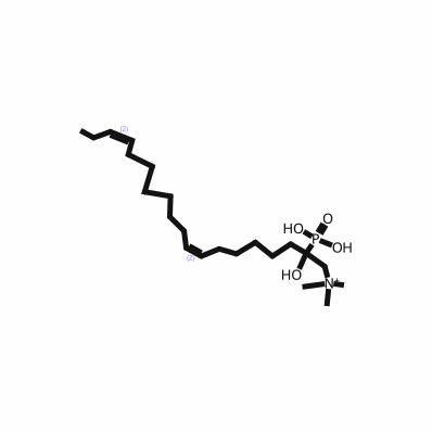 CC/C=C\CCCCCC/C=C\CCCCCC(O)(C[N+](C)(C)C)P(=O)(O)O